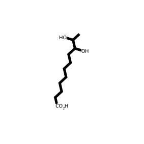 CC(O)C(O)CCCCCCCC(=O)O